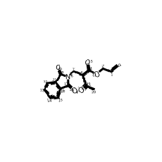 C=CCOC(=O)C(CN1C(=O)c2ccccc2C1=O)C(C)=O